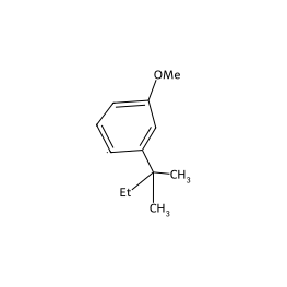 CCC(C)(C)c1[c]ccc(OC)c1